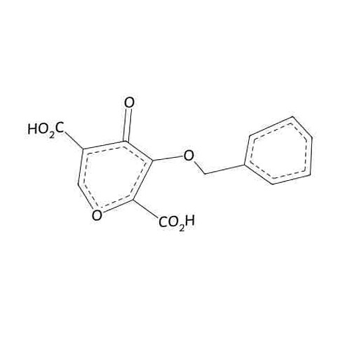 O=C(O)c1occ(C(=O)O)c(=O)c1OCc1ccccc1